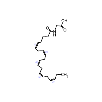 CC/C=C\C/C=C\C/C=C\C/C=C\C/C=C\CCCC(=O)NCC(=O)O